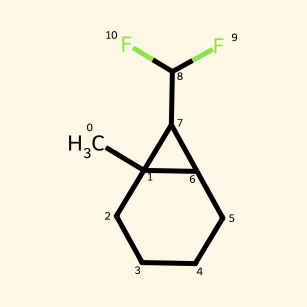 CC12CCCCC1C2C(F)F